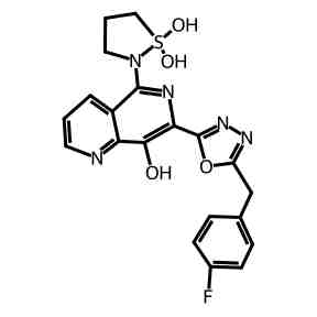 Oc1c(-c2nnc(Cc3ccc(F)cc3)o2)nc(N2CCCS2(O)O)c2cccnc12